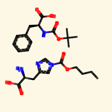 CC(C)(C)OC(=O)N[C@@H](Cc1ccccc1)C(=O)O.CCCCOC(=O)n1cnc(C[C@H](N)C(=O)O)c1